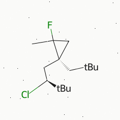 CC(C)(C)C[C@@]1(C[C@H](Cl)C(C)(C)C)CC1(C)F